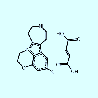 Clc1cc2c3c(c1)c1c(n3CCO2)CCNCC1.O=C(O)C=CC(=O)O